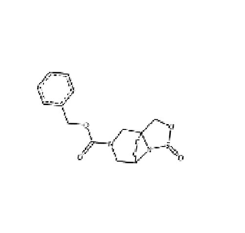 O=C(OCc1ccccc1)N1CC2CCC3(COS(=O)N23)C1